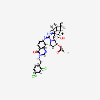 C[C@H]1[C@@H](NC(=Nc2ccc3c(=O)n(CCc4ccc(Cl)cc4Cl)cnc3c2)N2CC[C@H](OC(=O)C(F)(F)F)[C@H]2CO)C[C@H]2C[C@H]1C2(C)C